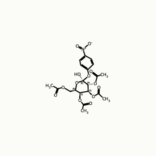 CC(=O)OC[C@H]1O[C@@](O)(Oc2ccc([N+](=O)[O-])cc2)[C@H](OC(C)=O)[C@@H](OC(C)=O)[C@H]1OC(C)=O